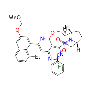 CCc1cccc2cc(OCOC)cc(-c3cc4nc(F)nc5c4c(n3)OC[C@@H]3[C@@H]4CC[C@H](CN53)N4C(=O)OCc3ccccc3)c12